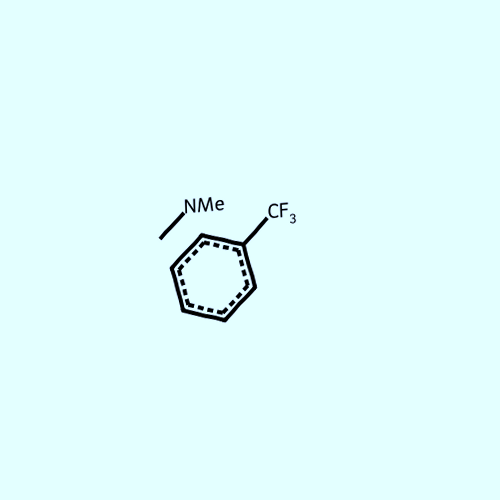 CNC.FC(F)(F)c1ccccc1